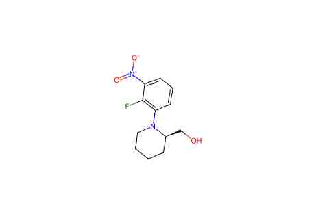 O=[N+]([O-])c1cccc(N2CCCC[C@@H]2CO)c1F